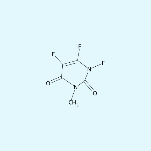 Cn1c(=O)c(F)c(F)n(F)c1=O